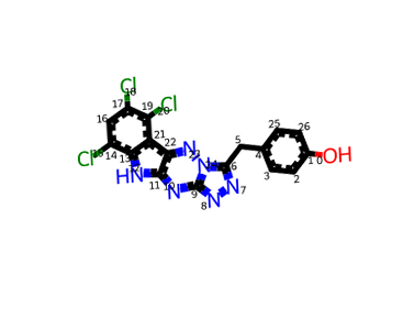 Oc1ccc(Cc2nnc3nc4[nH]c5c(Cl)cc(Cl)c(Cl)c5c4nn23)cc1